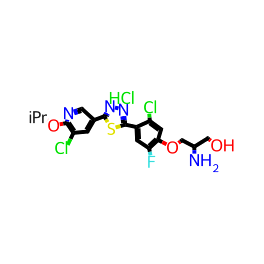 CC(C)Oc1ncc(-c2nnc(-c3cc(F)c(OCC(N)CO)cc3Cl)s2)cc1Cl.Cl